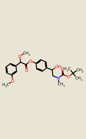 COc1cccc(C(OC)C(=O)Oc2ccc(C(O)CN(C)C(=O)OC(C)(C)C)cc2)c1